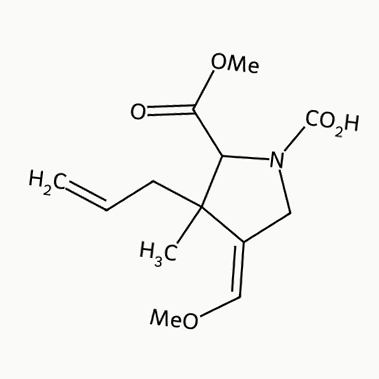 C=CCC1(C)C(=COC)CN(C(=O)O)C1C(=O)OC